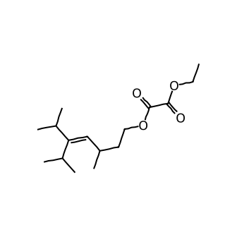 CCOC(=O)C(=O)OCCC(C)C=C(C(C)C)C(C)C